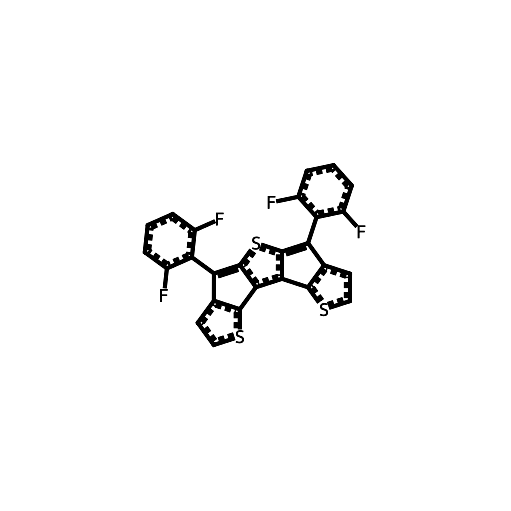 Fc1cccc(F)c1C1=c2sc3c(c2-c2sccc21)-c1sccc1C=3c1c(F)cccc1F